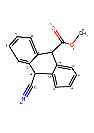 COC(=O)C1c2ccccc2C(C#N)c2ccccc21